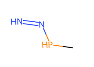 CPN=N